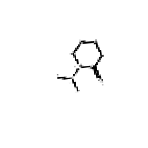 CN(C)N1CCCCC1=O